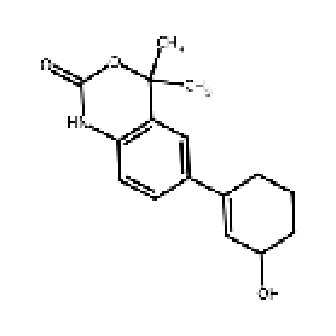 CC1(C)OC(=O)Nc2ccc(C3=CC(O)CCC3)cc21